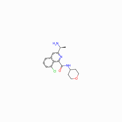 C[C@H](N)c1cc2cccc(Cl)c2c(C(=O)NC2CCOCC2)n1